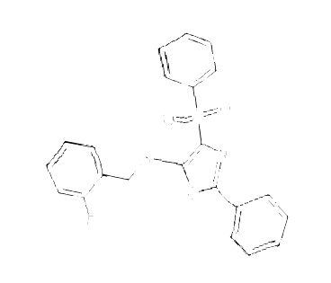 O=S(=O)(c1ccccc1)c1nc(-c2ccccc2)oc1SCc1ccccc1F